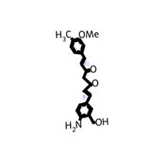 COc1cc(/C=C/C(=O)CC(=O)/C=C/c2ccc(N)c(CO)c2)ccc1C